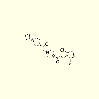 O=C(C=Cc1c(F)cccc1Cl)N1CCN(CC(=O)N2CCN(C3CCC3)CC2)CC1